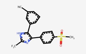 CS(=O)(=O)c1ccc(-c2nc(C(F)(F)F)[nH]c2-c2cccc(C#N)c2)cc1